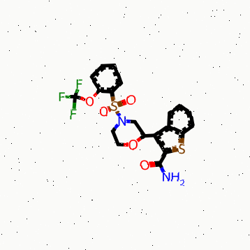 NC(=O)c1sc2ccccc2c1C1CN(S(=O)(=O)c2ccccc2OC(F)(F)F)CCO1